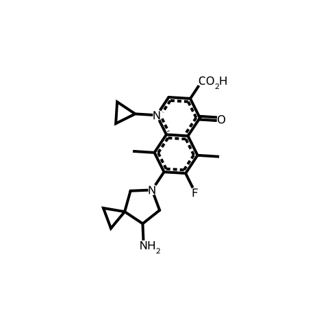 Cc1c(F)c(N2CC(N)C3(CC3)C2)c(C)c2c1c(=O)c(C(=O)O)cn2C1CC1